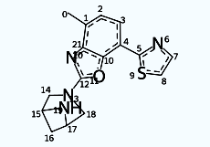 Cc1ccc(-c2nccs2)c2oc(N3CC4CC(C3)N4)nc12